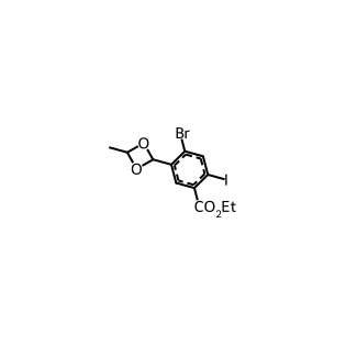 CCOC(=O)c1cc(C2OC(C)O2)c(Br)cc1I